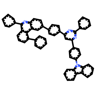 c1ccc(-c2nc(-c3ccc(-c4ccc5nc(-c6ccccc6)c6cccc(-c7ccccc7)c6c5c4)cc3)cc(-c3ccc(-n4c5ccccc5c5ccccc54)cc3)n2)cc1